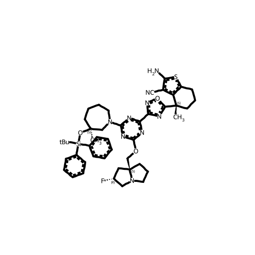 CC(C)(C)[Si](O[C@@]1(C)CCCCN(c2nc(OC[C@@]34CCCN3C[C@H](F)C4)nc(-c3noc([C@@]4(C)CCCc5sc(N)c(C#N)c54)n3)n2)C1)(c1ccccc1)c1ccccc1